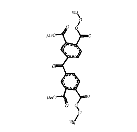 COC(=O)c1cc(C(=O)c2ccc(C(=O)OOC(C)(C)C)c(C(=O)OC)c2)ccc1C(=O)OOC(C)(C)C